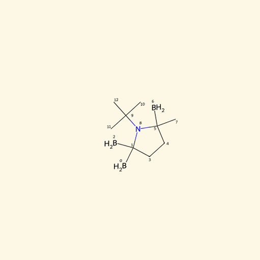 BC1(B)CCC(B)(C)N1C(C)(C)C